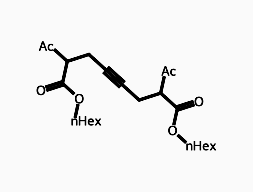 CCCCCCOC(=O)C(CC#CCC(C(C)=O)C(=O)OCCCCCC)C(C)=O